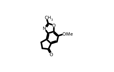 COc1cc2c(c3nc(C)oc13)CCC2=O